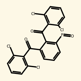 O=Pc1cccc(C(=O)c2c(Cl)cccc2Cl)c1C(=O)c1c(Cl)cccc1Cl